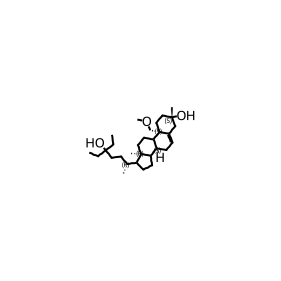 CCC(O)(CC)CC[C@@H](C)C1CCC2[C@@H]3CC=C4C[C@@](C)(O)CC[C@]4(COC)C3CC[C@@]21C